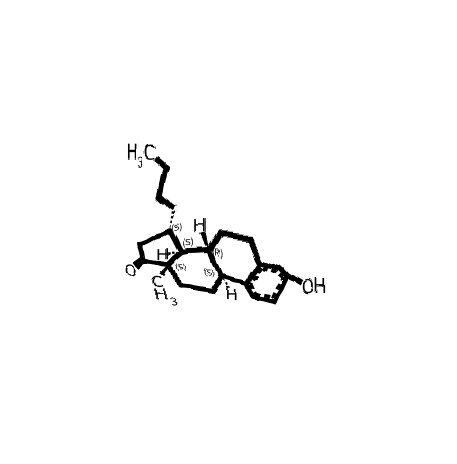 CCCC[C@H]1CC(=O)[C@@]2(C)CC[C@@H]3c4ccc(O)cc4CC[C@H]3[C@H]12